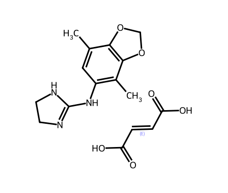 Cc1cc(NC2=NCCN2)c(C)c2c1OCO2.O=C(O)/C=C/C(=O)O